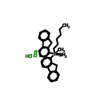 CCCCC[CH2][Ti]([CH3])(=[SiH2])([c]1cccc2c1Cc1ccccc1-2)[c]1cccc2c1Cc1ccccc1-2.Cl.Cl